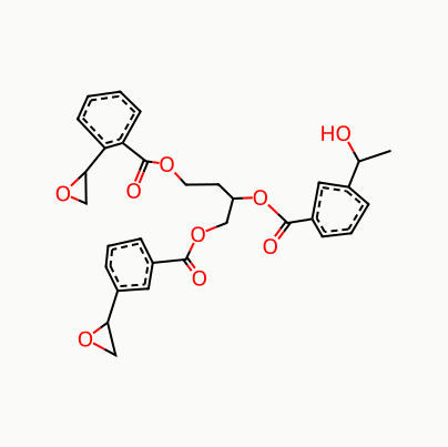 CC(O)c1cccc(C(=O)OC(CCOC(=O)c2ccccc2C2CO2)COC(=O)c2cccc(C3CO3)c2)c1